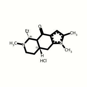 CC[C@@H]1C2C(=O)c3cc(C)n(C)c3C[C@@H]2CCN1C.Cl